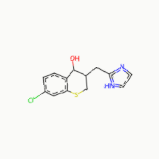 OC1c2ccc(Cl)cc2SCC1Cc1ncc[nH]1